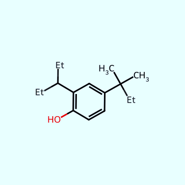 CCC(CC)c1cc(C(C)(C)CC)ccc1O